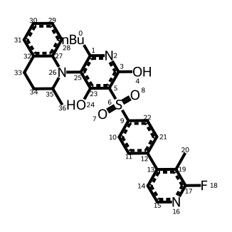 CCCCc1nc(O)c(S(=O)(=O)c2ccc(-c3ccnc(F)c3C)cc2)c(O)c1N1c2ccccc2CCC1C